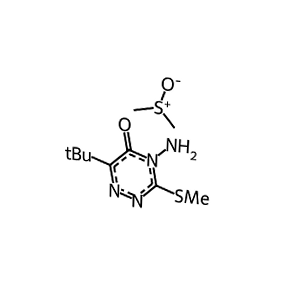 CSc1nnc(C(C)(C)C)c(=O)n1N.C[S+](C)[O-]